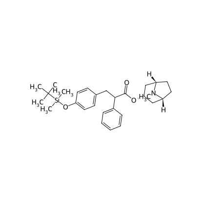 CN1[C@@H]2CC[C@H]1C[C@@H](OC(=O)C(Cc1ccc(O[Si](C)(C)C(C)(C)C)cc1)c1ccccc1)C2